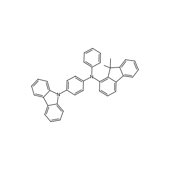 CC1(C)c2ccccc2-c2cccc(N(c3ccccc3)c3ccc(-n4c5ccccc5c5ccccc54)cc3)c21